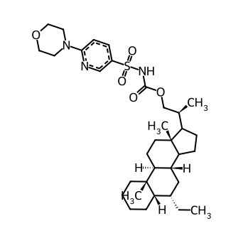 CC[C@H]1C[C@H]2C3CCC([C@H](C)COC(=O)NS(=O)(=O)c4ccc(N5CCOCC5)nc4)[C@@]3(C)CC[C@@H]2[C@@]2(C)CCCC[C@@H]12